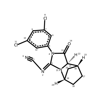 N#CN=C1N(c2cc(Cl)cc(Cl)c2)C(=O)[C@H]2[C@@H]3CC[C@@H](C3)N12